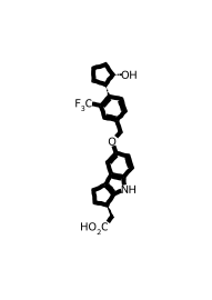 O=C(O)C[C@H]1CCc2c1[nH]c1ccc(OCc3ccc([C@@H]4CCC[C@@H]4O)c(C(F)(F)F)c3)cc21